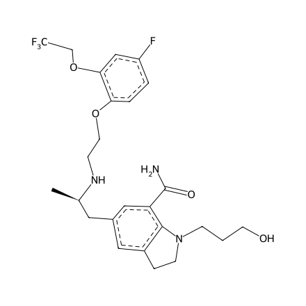 C[C@H](Cc1cc2c(c(C(N)=O)c1)N(CCCO)CC2)NCCOc1ccc(F)cc1OCC(F)(F)F